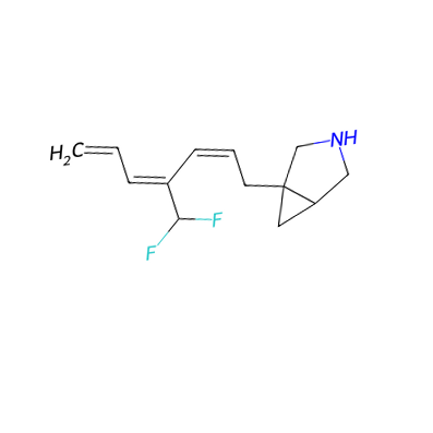 C=C/C=C(\C=C/CC12CNCC1C2)C(F)F